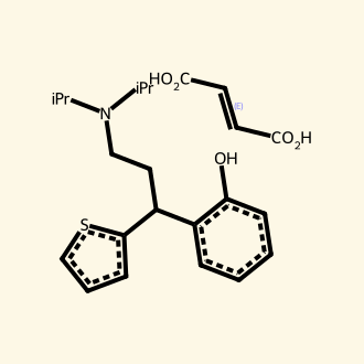 CC(C)N(CCC(c1cccs1)c1ccccc1O)C(C)C.O=C(O)/C=C/C(=O)O